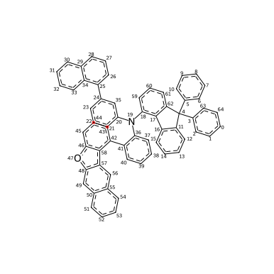 c1ccc(C2(c3ccccc3)c3ccccc3-c3c(N(c4cccc(-c5cccc6ccccc56)c4)c4ccccc4-c4cccc5oc6cc7ccccc7cc6c45)cccc32)cc1